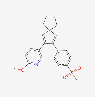 COc1ccc(C2=CC3(C=C2c2ccc(S(C)(=O)=O)cc2)CCCC3)cn1